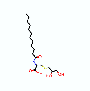 CCCCCCCCCCCC(=O)N[C@H](CSC[C@H](O)CO)C(=O)O